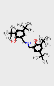 CC(C)(C)c1cc(CNCc2cc(C(C)(C)C)cc(C(C)(C)C)c2O)c(O)c(C(C)(C)C)c1